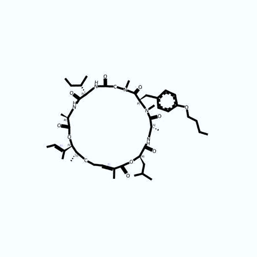 C/C=C(\C)[C@H]1OC(=O)[C@@H](C)NC(=O)[C@H](C(C)CC)NC(=O)CN(C)C(=O)[C@@H](Cc2ccc(OCCCC)cc2)N(C)C(=O)[C@H](C)NC(=O)[C@@H](CC(C)C)OC(=O)/C(C)=C/CC[C@@H]1C